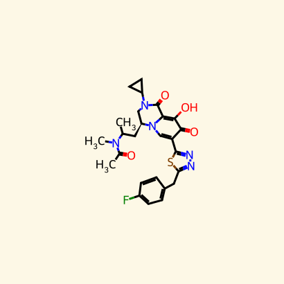 CC(=O)N(C)C(C)C[C@H]1CN(C2CC2)C(=O)c2c(O)c(=O)c(-c3nnc(Cc4ccc(F)cc4)s3)cn21